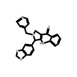 O=c1c2c([nH]c3ccccc13)C(c1ccc3c(c1)OCO3)N(Cc1ccncc1)C2